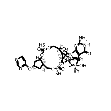 CC(C)[Si](O)(O[Si](O[C@H]1[C@H]2O[P@@](=O)(S)OC[C@H]3C[C@@H](Oc4ccncn4)C[C@@H]3O[P@](=O)(S)OC[C@H]1O[C@H]2n1ccc2c(=O)[nH]c(N)nc21)(C(C)C)C(C)C)C(C)C